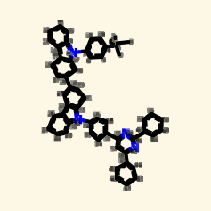 C[Si](C)(C)c1ccc(-n2c3ccccc3c3ccc(-c4ccc5c(c4)c4ccccc4n5-c4ccc(-c5cc(-c6ccccc6)nc(-c6ccccc6)n5)cc4)cc32)cc1